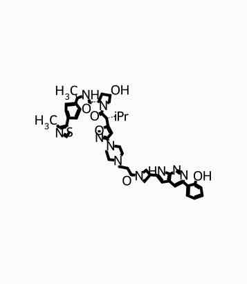 Cc1ncsc1-c1ccc([C@H](C)NC(=O)[C@@H]2C[C@@H](O)CN2C(=O)[C@@H](c2cc(N3CCN(CCC(=O)N4CC(c5cc6cc(-c7ccccc7O)nnc6[nH]5)C4)CC3)no2)C(C)C)cc1